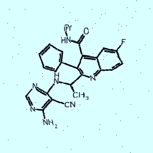 CC(C)NC(=O)c1c(-c2ccccc2)c(C(C)Nc2ncnc(N)c2C#N)nc2ccc(F)cc12